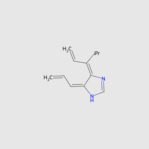 C=C/C=c1/[nH]cn/c1=C(/C=C)C(C)C